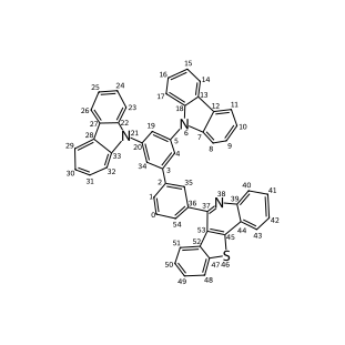 c1cc(-c2cc(-n3c4ccccc4c4ccccc43)cc(-n3c4ccccc4c4ccccc43)c2)cc(-c2nc3ccccc3c3sc4ccccc4c23)c1